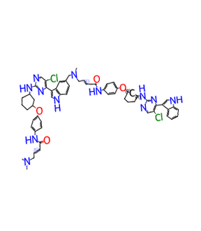 CN(C)C/C=C/C(=O)Nc1ccc(OC2CCCC(Nc3ncc(Cl)c(-c4c[nH]c5ccc(CN(C)C/C=C/C(=O)Nc6ccc(O[C@@H]7CCC[C@@H](Nc8ncc(Cl)c(-c9c[nH]c%10ccccc9%10)n8)C7)cc6)cc45)n3)C2)cc1